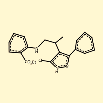 CCOC(=O)c1ccccc1NCC(C)c1c(-c2ccccc2)n[nH]c1Cl